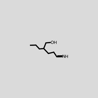 CCCC(CO)CCC=N